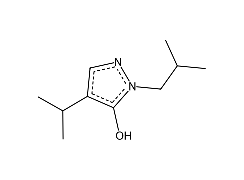 CC(C)Cn1ncc(C(C)C)c1O